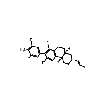 C/C=C/[C@@H]1CC[C@@H]2c3cc(F)c(-c4cc(F)c(C(F)(F)F)c(F)c4)c(F)c3CC[C@@H]2C1